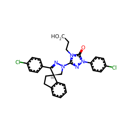 O=C(O)CCn1c(N2C[C@@]3(CCc4ccccc43)C(c3ccc(Cl)cc3)=N2)nn(-c2ccc(Cl)cc2)c1=O